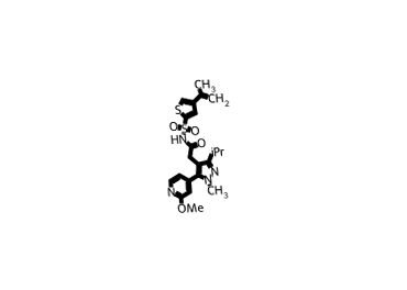 C=C(C)c1csc(S(=O)(=O)NC(=O)Cc2c(C(C)C)nn(C)c2-c2ccnc(OC)c2)c1